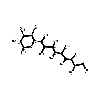 OCC(O)C(O)C(O)C(O)C(O)C(O)C(O)C(O)[C@H]1OC(O)[C@H](O)[C@@H](O)[C@H]1O